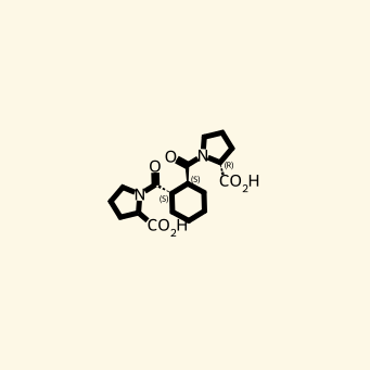 O=C(O)C1CCCN1C(=O)[C@H]1CCCC[C@@H]1C(=O)N1CCC[C@@H]1C(=O)O